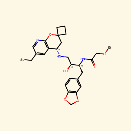 CCOCC(=O)N[C@@H](Cc1ccc2c(c1)OCO2)[C@@H](O)CN[C@H]1CC2(CCC2)Oc2ncc(CC(C)(C)C)cc21